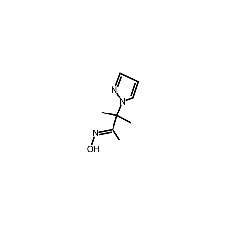 CC(=NO)C(C)(C)n1cccn1